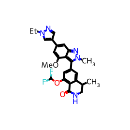 CCn1cc(-c2cc(OC)c3c(-c4cc(OC(F)F)c5c(c4)C(C)CNC5=O)n(C)nc3c2)cn1